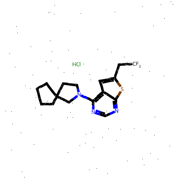 Cl.FC(F)(F)Cc1cc2c(N3CCC4(CCCC4)C3)ncnc2s1